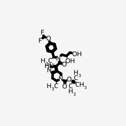 C[C@@H]1Cc2n[nH]c(C(=O)N(C[C@@H](O)CO)[C@@H](C)c3ccc(OC(F)F)cc3)c2CN1C(=O)OC(C)(C)C